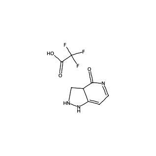 O=C(O)C(F)(F)F.O=C1N=CC=C2NNCC12